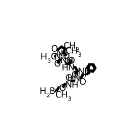 BC(C)COCNC(=O)CNC(=O)[C@H](Cc1ccccc1)NC(=O)CNC(=O)CNC(=O)N(C)N1C(=O)CC(C)(C)C1=O